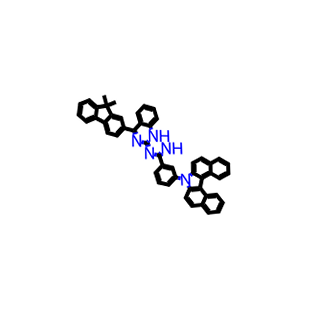 CC1(C)c2ccccc2-c2ccc(-c3n/c(=N/C(=N)c4cccc(-n5c6ccc7ccccc7c6c6c7ccccc7ccc65)c4)[nH]c4ccccc34)cc21